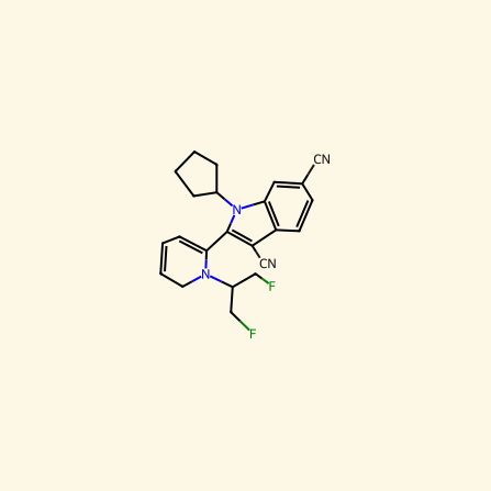 N#Cc1ccc2c(C#N)c(C3=CC=CCN3C(CF)CF)n(C3CCCC3)c2c1